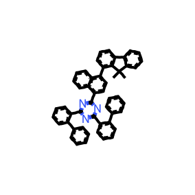 CC1(C)c2ccccc2-c2cccc(-c3ccc(-c4nc(-c5ccccc5-c5ccccc5)nc(-c5ccccc5-c5ccccc5)n4)c4ccccc34)c21